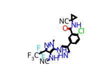 Cn1nc(C(F)(F)C(F)(F)F)c(NC#N)c1N/C=C(\C=N)c1ccc(Cl)c(C(=O)NC2(C#N)CC2)c1